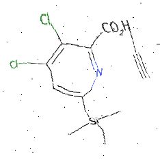 C#CC.C[Si](C)(C)c1cc(Cl)c(Cl)c(C(=O)O)n1